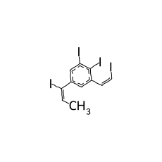 C/C=C(/I)c1cc(I)c(I)c(/C=C\I)c1